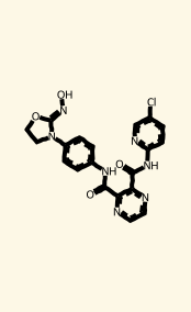 O=C(Nc1ccc(N2CCO/C2=N\O)cc1)c1nccnc1C(=O)Nc1ccc(Cl)cn1